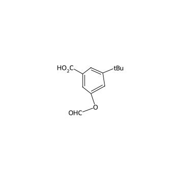 CC(C)(C)c1cc(OC=O)cc(C(=O)O)c1